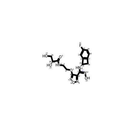 O=C(NCCOc1nonc1/C(=N\O)N[C@H]1Cc2ccc(F)cc21)[C@H](O)CO